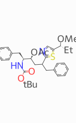 CC[C@@H](OC)c1cnc(C(Cc2ccccc2)C[C@H](OC(C)=O)[C@H](Cc2ccccc2)NC(=O)OC(C)(C)C)s1